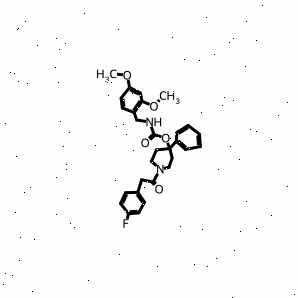 COc1ccc(CNC(=O)OC2(c3ccccc3)CCN(C(=O)Cc3ccc(F)cc3)CC2)c(OC)c1